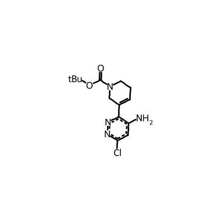 CC(C)(C)OC(=O)N1CCC=C(c2nnc(Cl)cc2N)C1